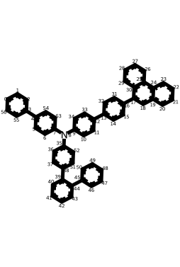 c1ccc(-c2ccc(N(c3ccc(-c4ccc(-c5cc6ccccc6c6ccccc56)cc4)cc3)c3ccc(-c4ccccc4-c4ccccc4)cc3)cc2)cc1